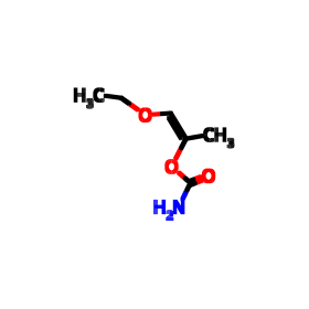 CCOC=C(C)OC(N)=O